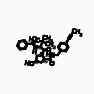 CC#Cc1ccc(CNC(=O)[C@@H]2C[C@@H](O)CN2C(=O)[C@@H](NC(=O)c2ccccc2)C(C)(C)C)cc1